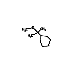 COC(C)(C)C1CC[CH]CC1